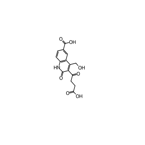 O=C(O)CCC(=O)c1c(CO)c2cc(C(=O)O)ccc2[nH]c1=O